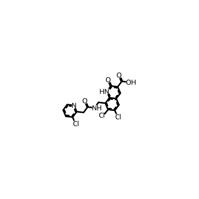 O=C(Cc1ncccc1Cl)NCc1c(Cl)c(Cl)cc2cc(C(=O)O)c(=O)[nH]c12